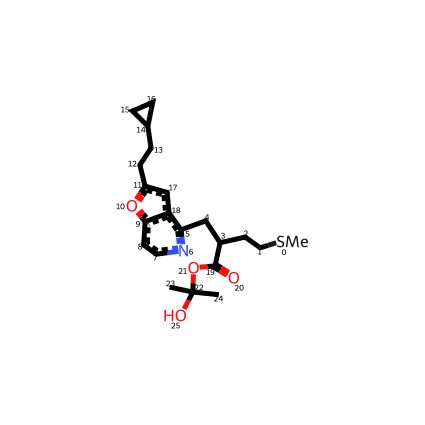 CSCCC(Cc1nccc2oc(CCC3CC3)cc12)C(=O)OC(C)(C)O